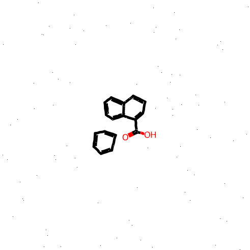 O=C(O)c1cccc2ccccc12.c1ccccc1